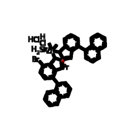 CC1=Cc2c(-c3cccc4ccccc34)ccc(Br)c2[CH]1[Zr]([CH3])([CH3])(=[SiH2])[CH]1C(C(C)C)=Cc2c(-c3cccc4ccccc34)cccc21.Cl.Cl